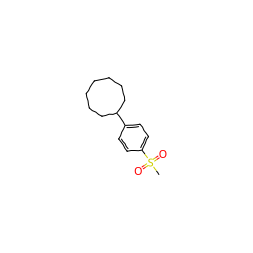 CS(=O)(=O)c1ccc(C2CCCCCCC2)cc1